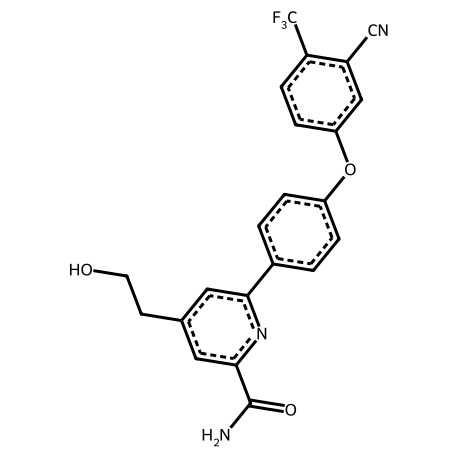 N#Cc1cc(Oc2ccc(-c3cc(CCO)cc(C(N)=O)n3)cc2)ccc1C(F)(F)F